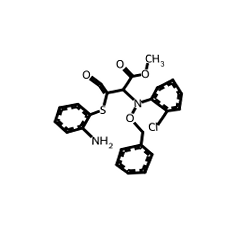 COC(=O)C(C(=C=O)Sc1ccccc1N)N(OCc1ccccc1)c1ccccc1Cl